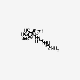 CCCC(C)C1C(C(=O)NCCCCNCCCN)OC(OC(C)CC)C(O)C1O